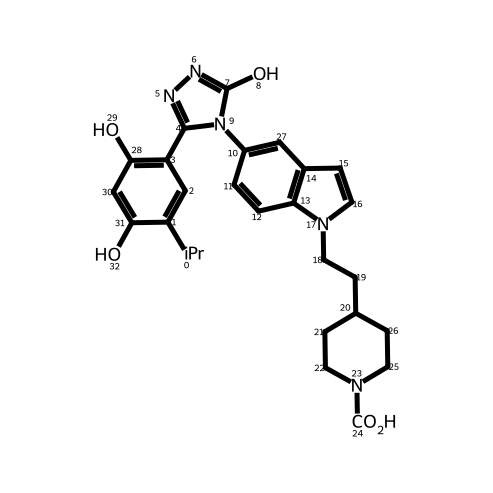 CC(C)c1cc(-c2nnc(O)n2-c2ccc3c(ccn3CCC3CCN(C(=O)O)CC3)c2)c(O)cc1O